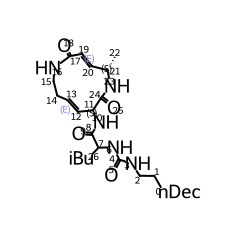 CCCCCCCCCCCCNC(=O)NC(C(=O)N[C@H]1/C=C/CCNC(=O)/C=C/[C@H](C)NC1=O)C(C)CC